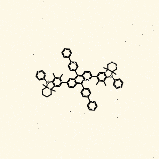 Cc1c(-c2ccc3c(-c4ccc(-c5ccccc5)cc4)c4cc(-c5cc6c(c(C)c5C)N(c5ccccc5)C5(C)CCCCC65C)ccc4c(-c4ccc(-c5ccccc5)cc4)c3c2)cc2c(c1C)N(c1ccccc1)C1(C)CCCCC21C